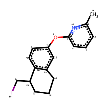 Cc1cccc(Oc2ccc3c(c2)CCCC3CI)n1